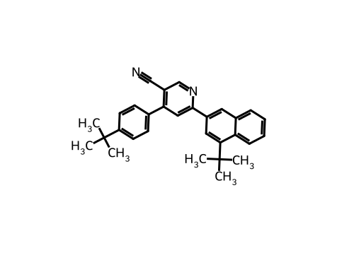 CC(C)(C)c1ccc(-c2cc(-c3cc(C(C)(C)C)c4ccccc4c3)ncc2C#N)cc1